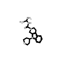 NC(N)NC(=O)N1CCc2c(n(C3CCOCC3)c3ccccc23)C1